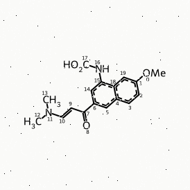 COc1ccc2cc(C(=O)C=CN(C)C)cc(NC(=O)O)c2c1